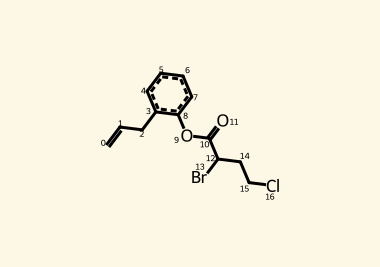 C=CCc1ccccc1OC(=O)C(Br)CCCl